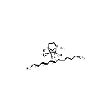 CC1(C)[C@H]2CC[C@](C)(C2)[C@H]1O.CCCCCC/C=C/C=C/C=C/O